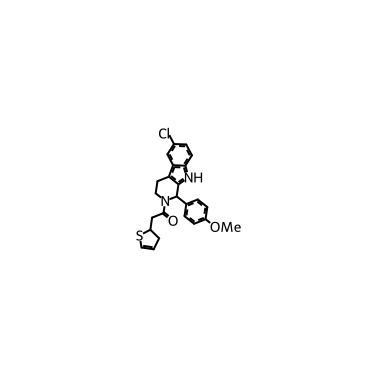 COc1ccc(C2c3[nH]c4ccc(Cl)cc4c3CCN2C(=O)CC2CC=CS2)cc1